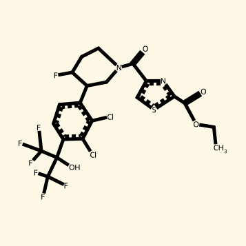 CCOC(=O)c1nc(C(=O)N2CCC(F)C(c3ccc(C(O)(C(F)(F)F)C(F)(F)F)c(Cl)c3Cl)C2)cs1